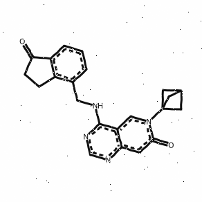 O=C1CCc2c(CNc3ncnc4cc(=O)n(C56CC(C5)C6)cc34)cccc21